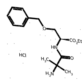 CCOC(=O)[C@H](COCc1ccccc1)NC(=O)C(C)(C)N.Cl